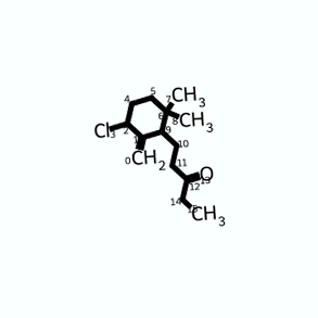 C=C1C(Cl)CCC(C)(C)C1CCC(=O)CC